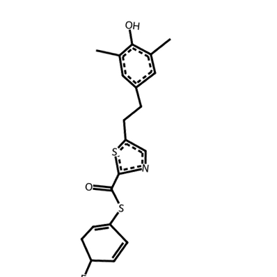 Cc1cc(CCc2cnc(C(=O)SC3=CCC(F)C=C3)s2)cc(C)c1O